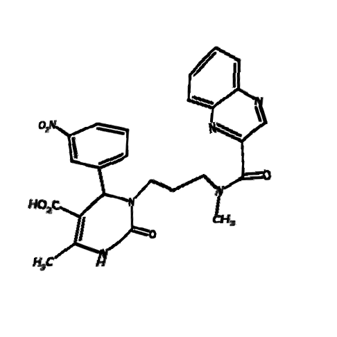 CC1=C(C(=O)O)C(c2cccc([N+](=O)[O-])c2)N(CCCN(C)C(=O)c2cnc3ccccc3n2)C(=O)N1